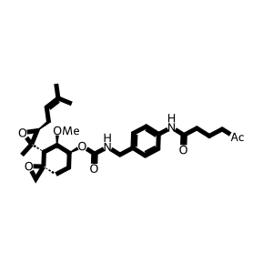 CO[C@H]1[C@@H](OC(=O)NCc2ccc(NC(=O)CCCC(C)=O)cc2)CC[C@@]2(CO2)[C@@H]1C1(C)O[C@H]1CC=C(C)C